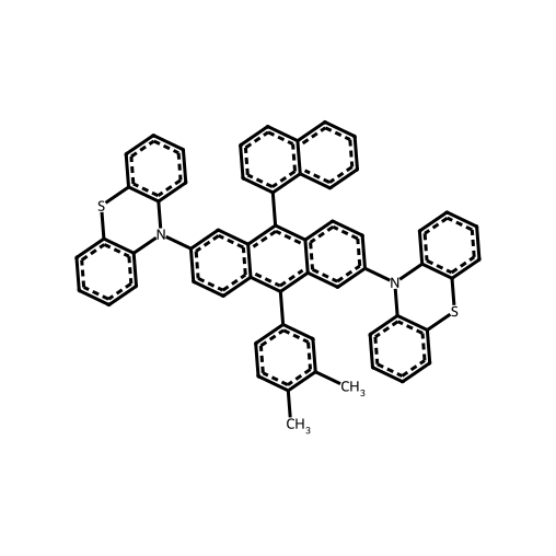 Cc1ccc(-c2c3cc(N4c5ccccc5Sc5ccccc54)ccc3c(-c3cccc4ccccc34)c3cc(N4c5ccccc5Sc5ccccc54)ccc23)cc1C